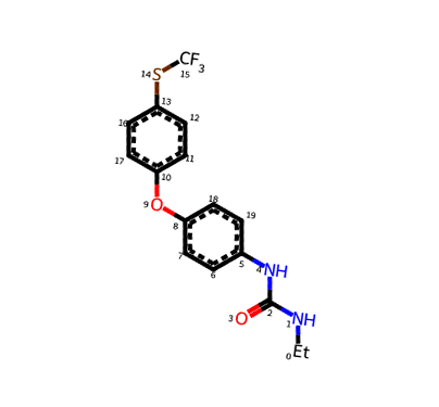 CCNC(=O)Nc1ccc(Oc2ccc(SC(F)(F)F)cc2)cc1